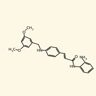 COc1cc(CNc2ccc(C=CC(=O)Nc3ccccc3N)cc2)cc(OC)c1